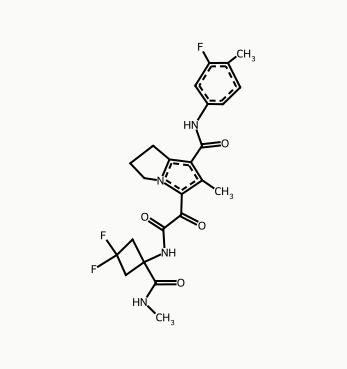 CNC(=O)C1(NC(=O)C(=O)c2c(C)c(C(=O)Nc3ccc(C)c(F)c3)c3n2CCC3)CC(F)(F)C1